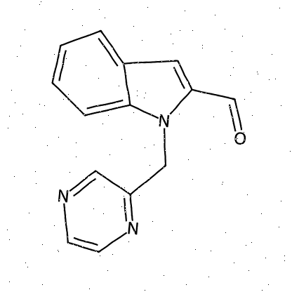 O=Cc1cc2ccccc2n1Cc1cnccn1